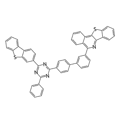 c1ccc(-c2nc(-c3ccc(-c4cccc(-c5nc6c7ccccc7sc6c6ccccc56)c4)cc3)nc(-c3ccc4c(c3)sc3ccccc34)n2)cc1